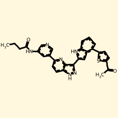 CCCC(=O)Nc1cncc(-c2ccc3[nH]nc(-c4cc5c(-c6ccc(C(C)=O)s6)cccc5[nH]4)c3n2)c1